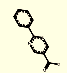 O=C(Cl)c1cnc(-c2ccccc2)nc1